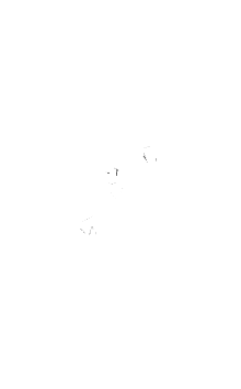 CC(C)Oc1c(CCCc2ccccc2)[c]ccc1CCCc1cccnc1